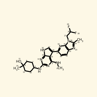 CNc1nc(NC2CCC(C)(O)CC2)nc2[nH]cc(-c3ccc4nc(C)n(CC(F)F)c4n3)c12